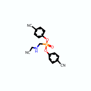 N#CCNCP(=O)(Oc1ccc(C#N)cc1)Oc1ccc(C#N)cc1